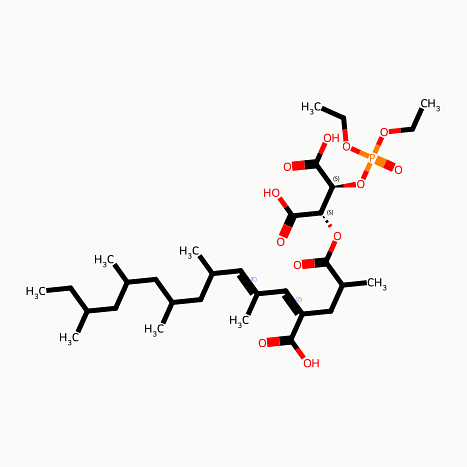 CCOP(=O)(OCC)O[C@H](C(=O)O)[C@H](OC(=O)C(C)C/C(=C/C(C)=C/C(C)CC(C)CC(C)CC(C)CC)C(=O)O)C(=O)O